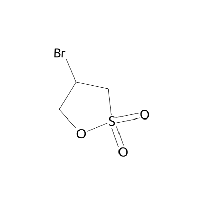 O=S1(=O)CC(Br)CO1